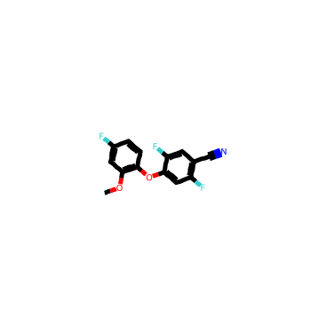 COc1cc(F)ccc1Oc1cc(F)c(C#N)cc1F